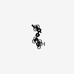 C#CCOS(=O)(=O)c1ccc(C)c(-c2ccc([C@H]3CN(C4CCC(=O)NC4=O)C(=O)O3)cc2)c1